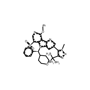 BC(B)(B)c1nnn(C)c1-c1cnc2c3c(OC(C)C)ncc(S(C)(=O)=O)c3n([C@H](c3ccccc3)C3CCOCC3)c2c1